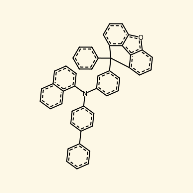 c1ccc(-c2ccc(N(c3cccc(C4(c5ccccc5)c5cccc6oc7cccc4c7c56)c3)c3cccc4ccccc34)cc2)cc1